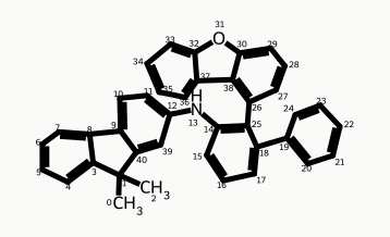 CC1(C)c2ccccc2-c2ccc(Nc3cccc(-c4ccccc4)c3-c3cccc4oc5ccccc5c34)cc21